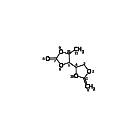 C=C1OCC(C2OC(=O)OC2C)O1